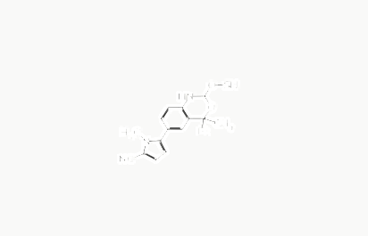 CCC1(C)OC(OS)Nc2ccc(-c3ccc(C#N)n3C)cc21